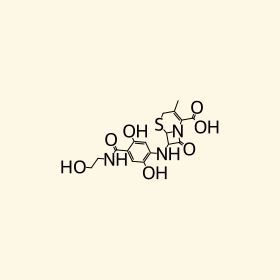 CC1=C(C(=O)O)N2C(=O)C(Nc3cc(O)c(C(=O)NCCO)cc3O)C2SC1